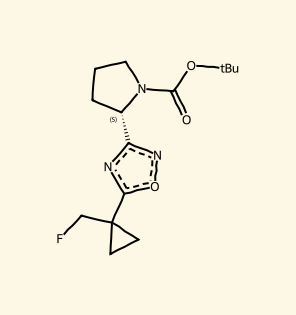 CC(C)(C)OC(=O)N1CCC[C@H]1c1noc(C2(CF)CC2)n1